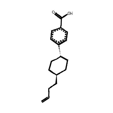 C=CCC[C@H]1CC[C@H](c2ccc(C(=O)O)cc2)CC1